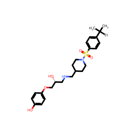 CCC(C)(C)c1ccc(S(=O)(=O)N2CCC(CNC[C@@H](O)COc3ccc(O)cc3)CC2)cc1